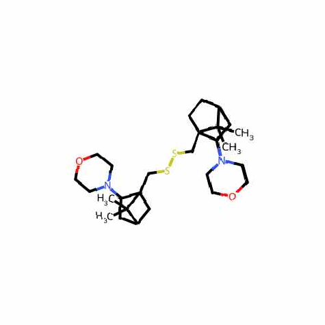 CC1(C)C2CCC1(CSSCC13CC(CC1N1CCOCC1)C3(C)C)C(N1CCOCC1)C2